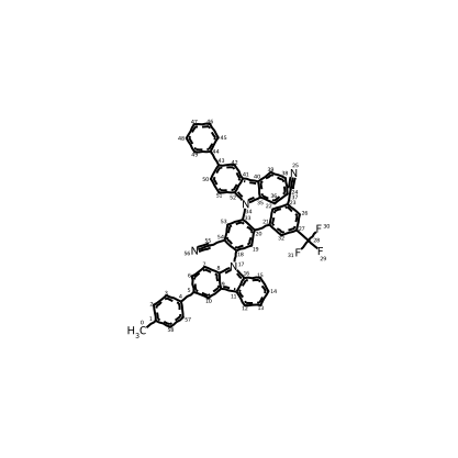 Cc1ccc(-c2ccc3c(c2)c2ccccc2n3-c2cc(-c3cc(C#N)cc(C(F)(F)F)c3)c(-n3c4ccccc4c4cc(-c5ccccc5)ccc43)cc2C#N)cc1